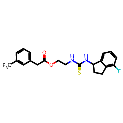 O=C(Cc1cccc(C(F)(F)F)c1)OCCNC(=S)NC1CCc2c(F)cccc21